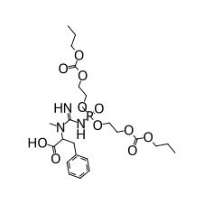 CCCOC(=O)OCCOP(=O)(NC(=N)N(C)C(Cc1ccccc1)C(=O)O)OCCOC(=O)OCCC